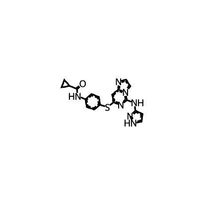 O=C(Nc1ccc(Sc2cc3nccn3c(Nc3cc[nH]n3)n2)cc1)C1CC1